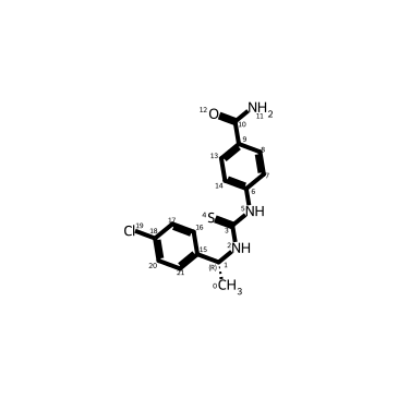 C[C@@H](NC(=S)Nc1ccc(C(N)=O)cc1)c1ccc(Cl)cc1